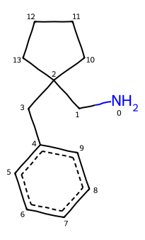 NCC1(Cc2ccccc2)CCCC1